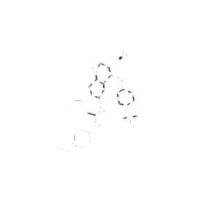 CCOc1cc2ncc(C#N)c(Nc3ccc(S(C)(=O)=O)cc3Cl)c2cc1NC(=O)NC1CCN(CC)CC1